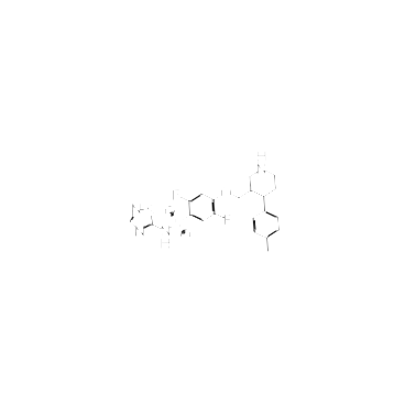 Cc1ccc(C2CCNCC2COc2cc(F)c(S(=O)(=O)Nc3ncns3)cc2F)cc1